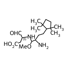 COC(N[C@H](C=O)CC(=O)O)C(N)CCC1C(C)(C)CCC1(C)C